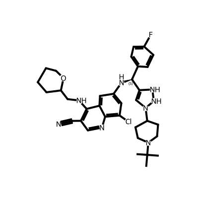 CC(C)(C)N1CCC(N2C=C([C@@H](Nc3cc(Cl)c4ncc(C#N)c(NCC5CCCCO5)c4c3)c3ccc(F)cc3)NN2)CC1